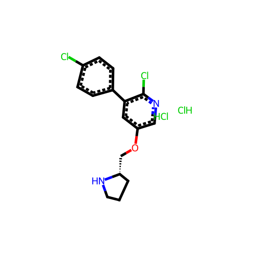 Cl.Cl.Clc1ccc(-c2cc(OC[C@@H]3CCCN3)cnc2Cl)cc1